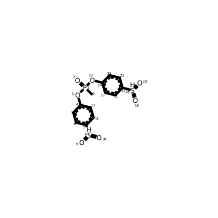 CP(=O)(Oc1ccc([SH](=O)=O)cc1)Oc1ccc([SH](=O)=O)cc1